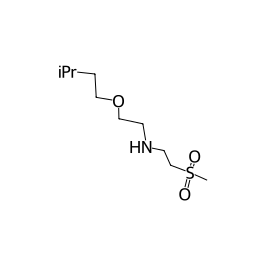 CC(C)CCOCCNCCS(C)(=O)=O